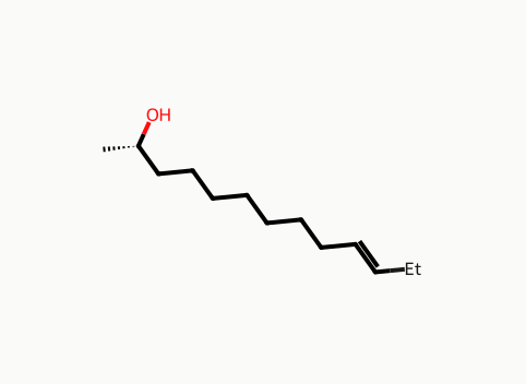 CCC=CCCCCCCC[C@H](C)O